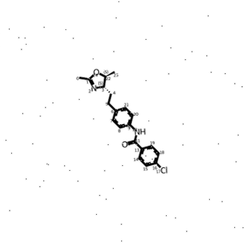 CC1=N[C@@H](CCc2ccc(NC(=O)c3ccc(Cl)cc3)cc2)[C@H](C)O1